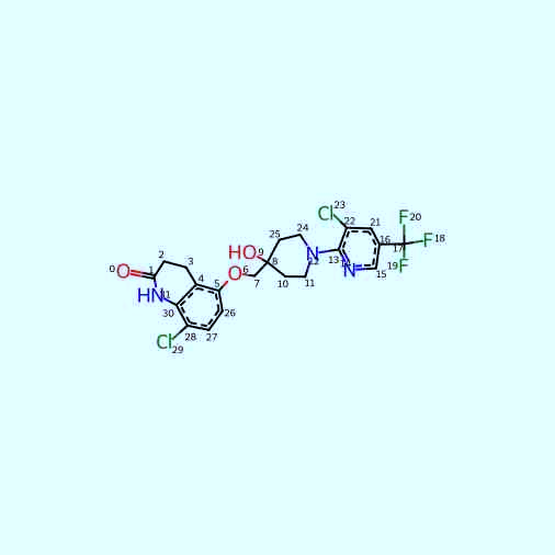 O=C1CCc2c(OCC3(O)CCN(c4ncc(C(F)(F)F)cc4Cl)CC3)ccc(Cl)c2N1